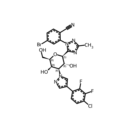 Cc1nc([C@@H]2O[C@H](CO)[C@H](O)[C@H](n3cc(-c4ccc(Cl)c(F)c4F)cn3)[C@H]2O)n(-c2cc(Br)ccc2C#N)n1